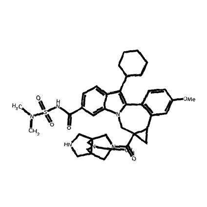 COc1ccc2c(c1)C1CC1(C(=O)N1CC34CNCC3(CN(C)C4)C1)Cn1c-2c(C2CCCCC2)c2ccc(C(=O)NS(=O)(=O)N(C)C)cc21